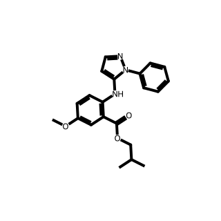 COc1ccc(Nc2ccnn2-c2ccccc2)c(C(=O)OCC(C)C)c1